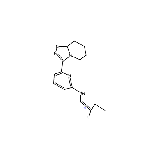 CC/C(F)=C\Nc1cccc(-c2nnc3n2CCCC3)n1